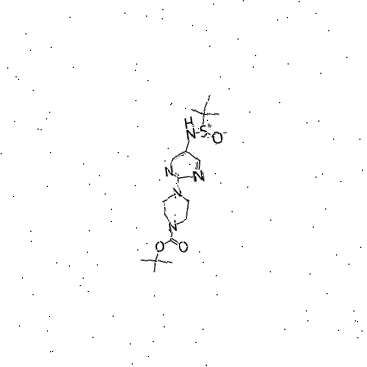 CC(C)(C)OC(=O)N1CCN(c2ncc(N[S+]([O-])C(C)(C)C)cn2)CC1